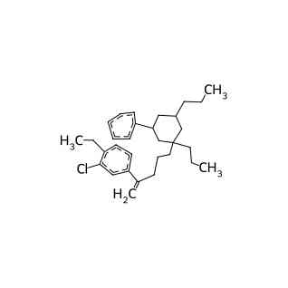 C=C(CCCC1(CCC)CC(CCC)CC(c2ccccc2)C1)c1ccc(CC)c(Cl)c1